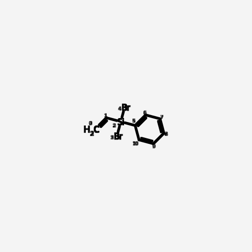 C=C[Si](Br)(Br)c1ccccc1